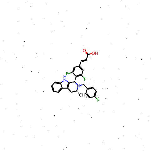 C[C@@H]1Cc2c([nH]c3ccccc23)[C@@H](c2c(F)cc(/C=C/C(=O)O)cc2F)N1Cc1ccc(F)cc1